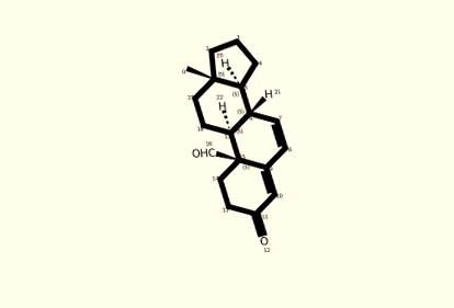 C[C@@]12CCC[C@H]1[C@@H]1C=CC3=CC(=O)CC[C@]3(C=O)[C@H]1CC2